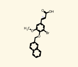 COc1cc(/C=C/C(=O)O)cc(Br)c1OCc1ccc2ccccc2c1